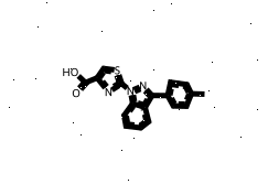 Cc1ccc(-c2nn(-c3nc(C(=O)O)cs3)c3ccccc23)cc1